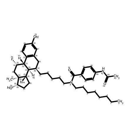 CCCCCCCCN(CCCCC[C@@H]1Cc2cc(O)ccc2[C@@H]2[C@@H]1[C@@H]1CC[C@H](O)[C@@]1(C)C[C@@H]2F)C(=O)c1ccc(NC(C)=O)cc1